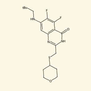 CC(C)(C)CNc1cc2nc(CSC3CCOCC3)[nH]c(=O)c2c(F)c1F